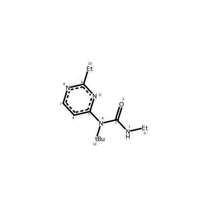 CCNC(=O)N(c1ccnc(CC)n1)C(C)(C)C